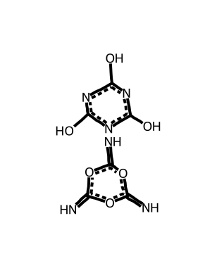 N=c1oc(=N)oc(=N)o1.Oc1nc(O)nc(O)n1